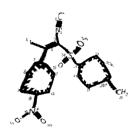 [C-]#[N+]C(=C(I)c1ccc([N+](=O)[O-])cc1)S(=O)(=O)c1ccc(C)cc1